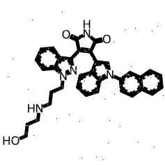 O=C1NC(=O)C(c2nn(CCCNCCCO)c3ccccc23)=C1c1cn(-c2ccc3ccccc3c2)c2ccccc12